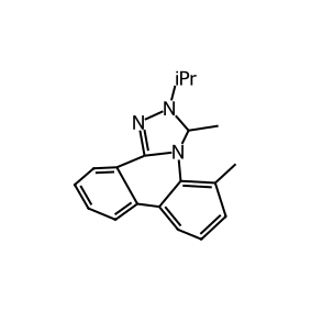 Cc1cccc2c1N1C(=NN(C(C)C)C1C)c1ccccc1-2